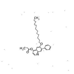 CCCCCCCCCCCCOc1cc2c(OC(=O)CC)ccnc2cc1-c1ccccc1